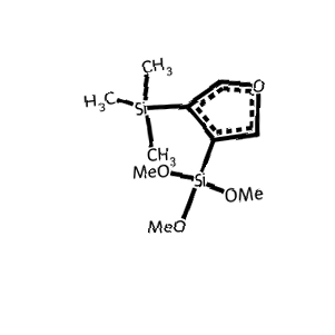 CO[Si](OC)(OC)c1cocc1[Si](C)(C)C